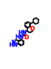 O=C(Nc1cccc2[nH]ncc12)NC1CCOc2c(C3CCCCC3)cccc21